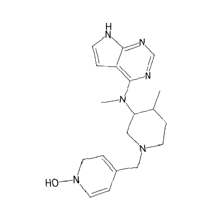 CC1CCN(CC2=CCN(O)C=C2)CC1N(C)c1ncnc2[nH]ccc12